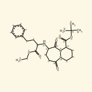 CCOC(=O)C(CCc1ccccc1)NC1CCC(=O)N2CCCC(C(=O)OC(C)(C)C)N2C1=O